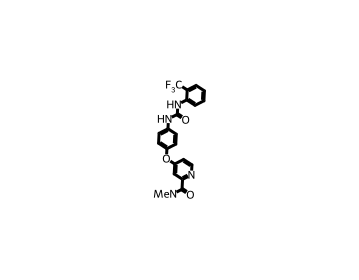 CNC(=O)c1cc(Oc2ccc(NC(=O)Nc3ccccc3C(F)(F)F)cc2)ccn1